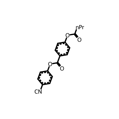 [C-]#[N+]c1ccc(OC(=O)c2ccc(OC(=O)CCC)cc2)cc1